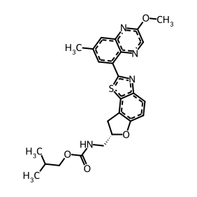 COc1cnc2c(-c3nc4ccc5c(c4s3)C[C@@H](CNC(=O)OCC(C)C)O5)cc(C)cc2n1